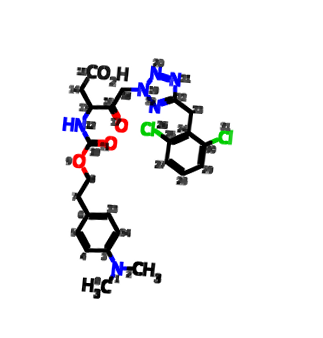 CN(C)c1ccc(CCOC(=O)NC(CC(=O)O)C(=O)Cn2nnc(Cc3c(Cl)cccc3Cl)n2)cc1